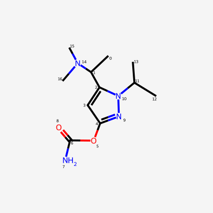 CC(c1cc(OC(N)=O)nn1C(C)C)N(C)C